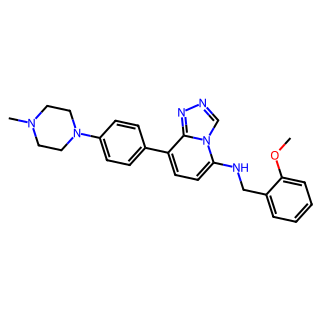 COc1ccccc1CNc1ccc(-c2ccc(N3CCN(C)CC3)cc2)c2nncn12